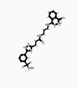 COC(F)(F)c1cccc(-c2noc(CCC(=O)NCCCNc3n[nH]c(=O)c4ccccc34)n2)c1